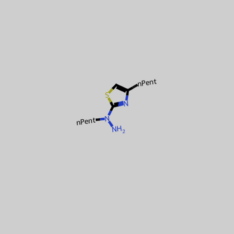 CCCCCc1csc(N(N)CCCCC)n1